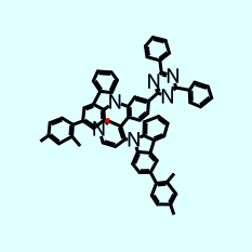 Cc1ccc(-c2ccc3c(c2)c2ccccc2n3-c2ccncc2-c2ccc(-c3nc(-c4ccccc4)nc(-c4ccccc4)n3)cc2-n2c3ccccc3c3cc(-c4ccc(C)cc4C)ccc32)c(C)c1